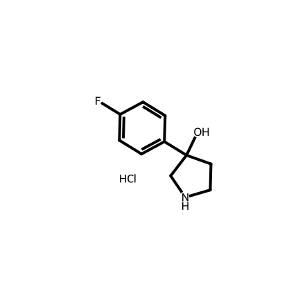 Cl.OC1(c2ccc(F)cc2)CCNC1